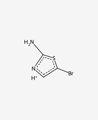 Nc1ncc(Br)s1.[H+]